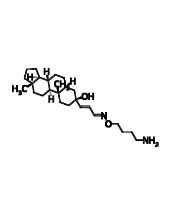 C[C@@]12CCC[C@H]1[C@@H]1CC[C@@H]3C[C@](O)(C=CC=NOCCCCN)CC[C@]3(C)[C@H]1CC2